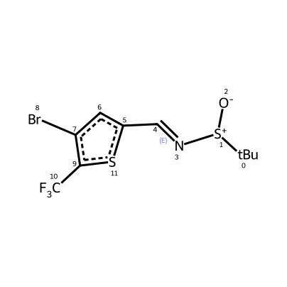 CC(C)(C)[S+]([O-])/N=C/c1cc(Br)c(C(F)(F)F)s1